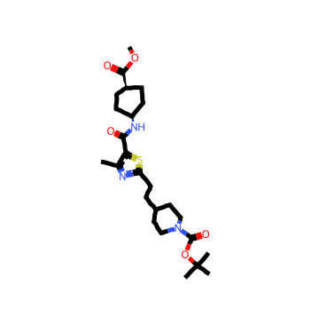 COC(=O)[C@H]1CC[C@H](NC(=O)c2sc(CCC3CCN(C(=O)OC(C)(C)C)CC3)nc2C)CC1